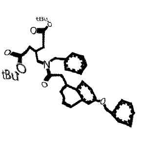 CC(C)(C)OC(=O)CC(CC(=O)OC(C)(C)C)CN(Cc1ccccc1)C(=O)CC1CCCc2cc(OCc3ccccc3)ccc21